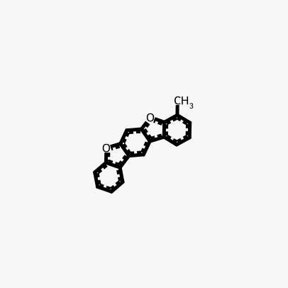 Cc1cccc2c1oc1cc3oc4ccccc4c3cc12